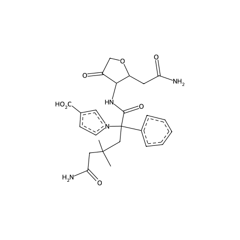 CC(C)(CC(N)=O)CC(C(=O)NC1C(=O)COC1CC(N)=O)(c1ccccc1)n1ccc(C(=O)O)c1